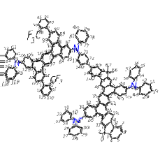 CC1(C)c2ccccc2-c2cc3c(cc21)c1cc(N(c2ccccc2)c2ccccc2)ccc1c1cc2c4cc5c(cc4c4cc(N(c6ccccc6)c6ccccc6)ccc4c2cc31)C(C)(C)c1cc(-c2ccc(N(c3ccccc3)c3ccc4c(c3)c3ccc(-c6ccccc6C(F)(F)F)cc3c3cc6c7ccc(N(c8ccccc8)c8ccccc8)cc7c7ccc(-c8ccccc8C(F)(F)F)cc7c6cc43)cc2)ccc1-5